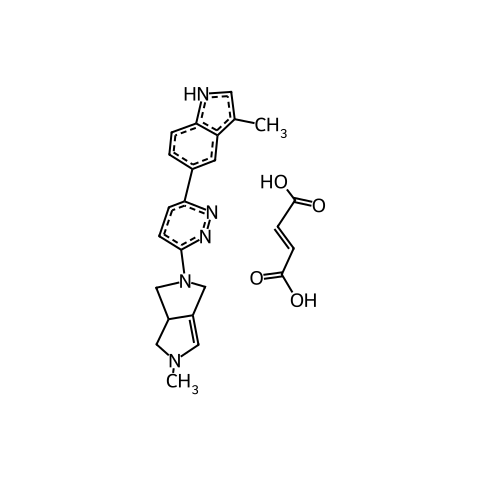 Cc1c[nH]c2ccc(-c3ccc(N4CC5=CN(C)CC5C4)nn3)cc12.O=C(O)C=CC(=O)O